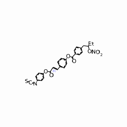 CCC(Cc1ccc(C(=O)Oc2ccc(/C=C/C(=O)Oc3ccc(N=C=S)cc3)cc2)cc1)O[N+](=O)[O-]